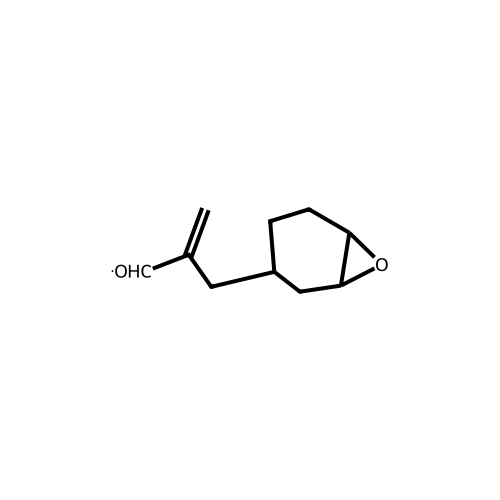 C=C([C]=O)CC1CCC2OC2C1